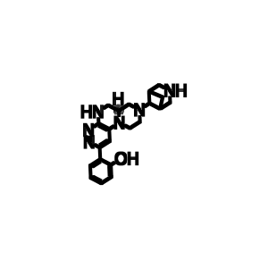 Oc1ccccc1-c1cc2c(nn1)NC[C@H]1CN(C3C4CNCC3C4)CCN21